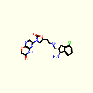 N[C@@H]1c2cccc(Cl)c2C[C@H]1CNCCC1CN(c2cnc3c(n2)NC(=O)CO3)C(=O)O1